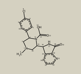 CN1CC(c2ccc(Cl)cn2)N(C(=O)O)C(C2NC(=O)c3nccnc32)C1